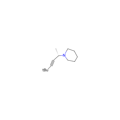 C[C@@H](C#CC(C)(C)C)N1CCCCC1